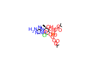 C#C[C@]1(O)[C@@H](n2cnc3c2NCN=C3N)O[C@](CCl)(COP(=O)(OCOC(=O)OC(C)C)OCOC(=O)OC(C)C)[C@H]1O